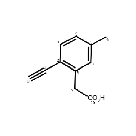 C#Cc1ccc(C)cc1CC(=O)O